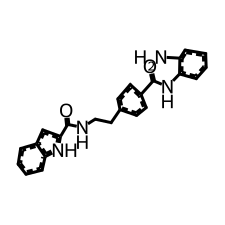 Nc1ccccc1NC(=O)c1ccc(CCNC(=O)c2cc3ccccc3[nH]2)cc1